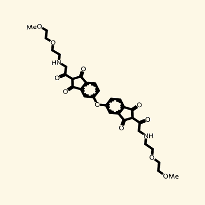 COCCOCCNCC(=O)C1C(=O)c2ccc(Oc3ccc4c(c3)C(=O)C(C(=O)CNCCOCCOC)C4=O)cc2C1=O